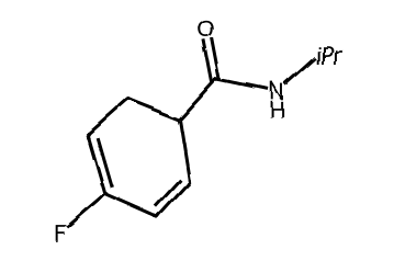 CC(C)NC(=O)C1C=CC(F)=CC1